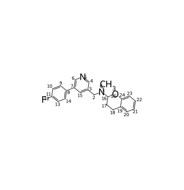 CN(Cc1cncc(-c2ccc(F)cc2)c1)C1CCc2ccccc2O1